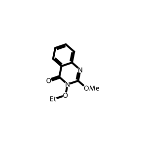 CCOn1c(OC)nc2ccccc2c1=O